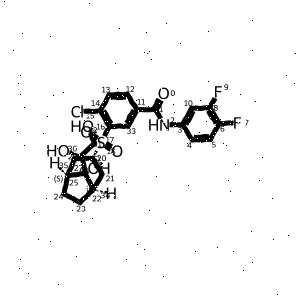 O=C(Nc1ccc(F)c(F)c1)c1ccc(Cl)c(S(=O)(=O)[C@@H]2C[C@H]3CC[C@@H](C2)[C@@]3(O)[C@@H](O)CO)c1